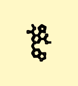 COC(=O)C1=CN(Cc2ccc3c(c2)OCO3)C=C(C(=O)OC)C1c1cccs1